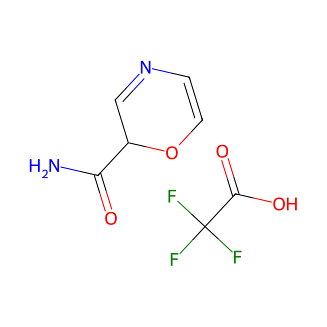 NC(=O)C1C=NC=CO1.O=C(O)C(F)(F)F